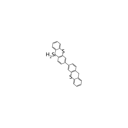 c1ccc2c(c1)Cc1ccc(-c3ccc4c(c3)Sc3ccccc3[SiH2]4)cc1S2